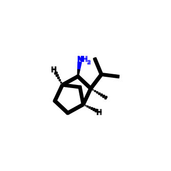 CC(C)[C@@]1(C)[C@H]2CC[C@H](C2)[C@H]1N